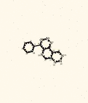 c1ccc(-c2nnnc3c2ncc2nnncc23)cc1